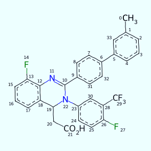 Cc1cccc(-c2ccc(C3=Nc4c(F)cccc4C(CC(=O)O)N3c3ccc(F)c(C(F)(F)F)c3)cc2)c1